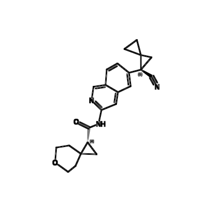 N#C[C@]1(c2ccc3cnc(NC(=O)[C@@H]4CC45CCOCC5)cc3c2)CC12CC2